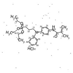 C=C(C)C(=O)Nc1ccc(N(CCC[Si](OCC)(OCC)OCC)c2ccccc2)cc1.Cl